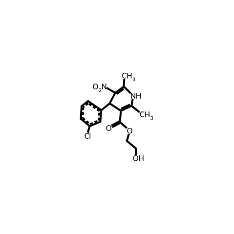 CC1=C(C(=O)OCCO)C(c2cccc(Cl)c2)C([N+](=O)[O-])=C(C)N1